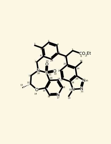 CCOC(=O)CC(c1ccc(C)c(CN2C[C@@H](C)Oc3cnccc3S2(=O)=O)c1)c1ccc2c(nnn2C)c1C